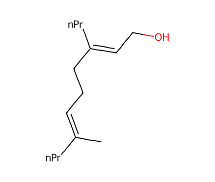 CCCC(C)=CCCC(=CCO)CCC